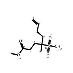 C=CCCC(C)(CCC(=O)OC)S(N)(=O)=O